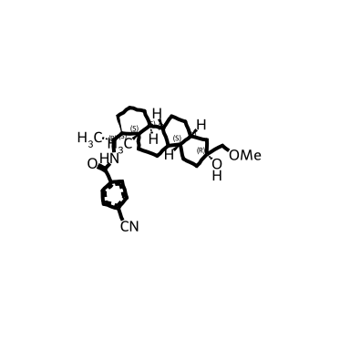 COC[C@@]1(O)CC[C@@H]2C3CC[C@]4(C)[C@@H]([C@@H](C)NC(=O)c5ccc(C#N)cc5)CCC[C@H]4[C@@H]3CC[C@@H]2C1